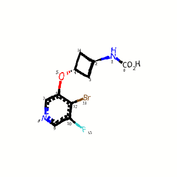 O=C(O)N[C@H]1C[C@H](Oc2cncc(F)c2Br)C1